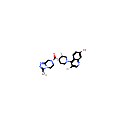 C[C@@H]1CN(c2c(C#N)cnc3cc(O)ccc23)CC[C@@H]1C(=O)N1CCn2c(nnc2C(F)(F)F)C1